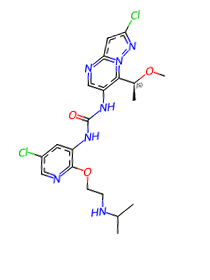 CO[C@@H](C)c1c(NC(=O)Nc2cc(Cl)cnc2OCCNC(C)C)cnc2cc(Cl)nn12